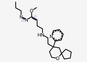 CCC/N=N\C(=C/CCNCCC1(c2ccccn2)CCOC2(CCCC2)C1)OC